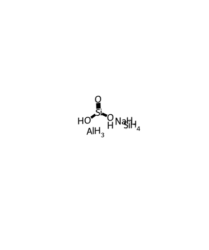 O=[Si](O)O.[AlH3].[NaH].[SiH4]